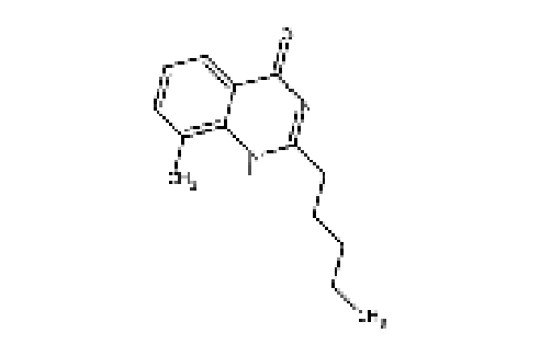 CCCCCc1nc(=O)c2cccc(C)c2[nH]1